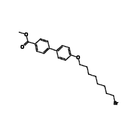 COC(=O)c1ccc(-c2ccc(OCCCCCCCCBr)cc2)cc1